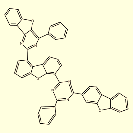 c1ccc(-c2nc(-c3ccc4c(c3)oc3ccccc34)nc(-c3cccc4c3sc3cccc(-c5nc(-c6ccccc6)c6oc7ccccc7c6n5)c34)n2)cc1